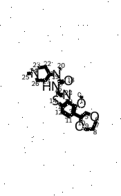 COc1c(C2COCCCO2)ccc2sc(NC(=O)N(C)C3CCN(C)CC3)nc12